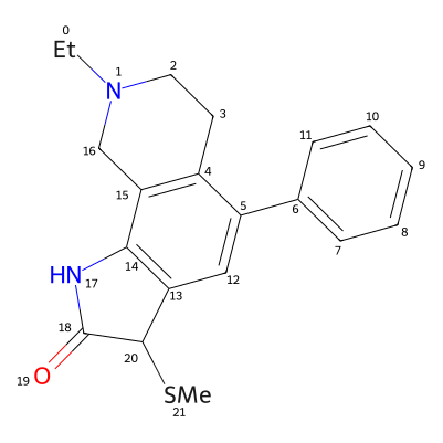 CCN1CCc2c(-c3ccccc3)cc3c(c2C1)NC(=O)C3SC